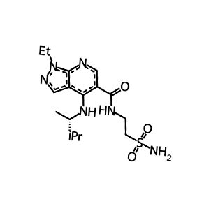 CCn1ncc2c(N[C@@H](C)C(C)C)c(C(=O)NCCS(N)(=O)=O)cnc21